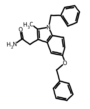 Cc1c(CC(N)=O)c2cc(OCc3ccccc3)ccc2n1Cc1ccccc1